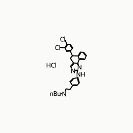 CCCCN(C)CCc1ccc(Nc2ncc3c(n2)-c2ccccc2C(c2ccc(Cl)c(Cl)c2)C3)cc1.Cl